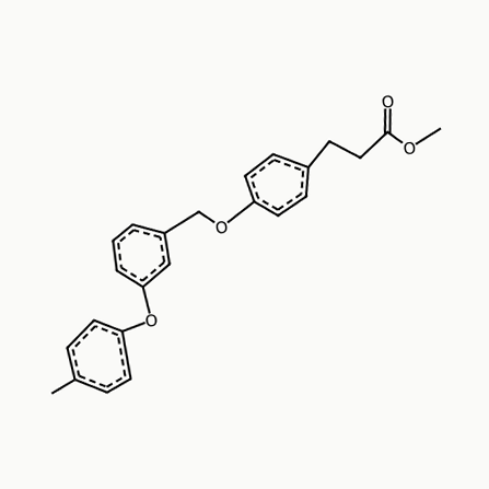 COC(=O)CCc1ccc(OCc2cccc(Oc3ccc(C)cc3)c2)cc1